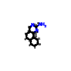 Nc1ncc2ccc3ccccc3c2n1